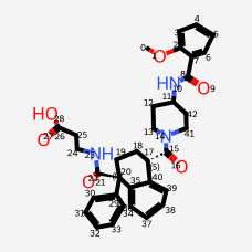 COc1ccccc1C(=O)NC1CCN(C(=O)[C@H]2CC[C@@](C(=O)NCCC(=O)O)(c3ccccc3)c3ccccc32)CC1